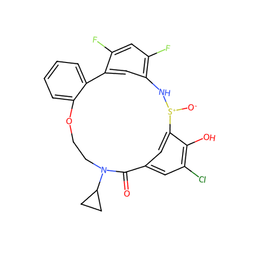 O=C1c2cc(Cl)c(O)c(c2)[S+]([O-])Nc2cc(c(F)cc2F)-c2ccccc2OCCN1C1CC1